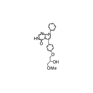 COCC(O)COc1ccc(-c2cn(-c3ccccc3)c3nc[nH]c(=O)c23)cc1